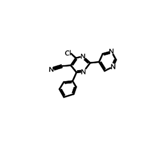 N#Cc1c(Cl)nc(-c2cncnc2)nc1-c1ccccc1